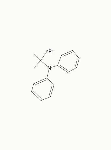 CCCC(C)(C)N(c1ccccc1)c1ccccc1